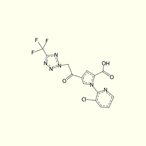 O=C(Cn1nnc(C(F)(F)F)n1)c1cc(C(=O)O)n(-c2ncccc2Cl)c1